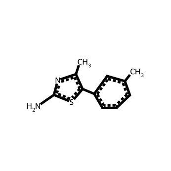 Cc1cccc(-c2sc(N)nc2C)c1